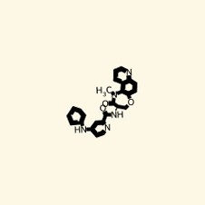 CN1C(=O)[C@@H](NC(=O)c2cc(Nc3ccccc3)ccn2)COc2ccc3ncccc3c21